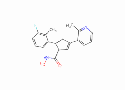 Cc1ncccc1C1=CC(C(=O)NO)C(c2cccc(F)c2C)C1